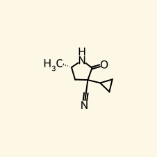 C[C@H]1CC(C#N)(C2CC2)C(=O)N1